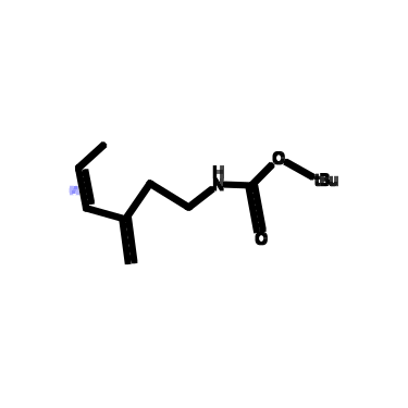 C=C(/C=C\C)CCNC(=O)OC(C)(C)C